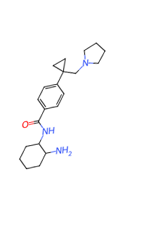 NC1CCCCC1NC(=O)c1ccc(C2(CN3CCCC3)CC2)cc1